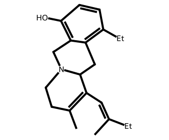 CC/C(C)=C/C1=C(C)CCN2Cc3c(O)ccc(CC)c3CC12